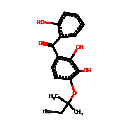 CC(C)(C)CC(C)(C)Oc1ccc(C(=O)c2ccccc2O)c(O)c1O